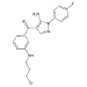 Nc1c(C(=O)c2cccc(NCCCCl)c2)cnn1-c1ccc(F)cc1